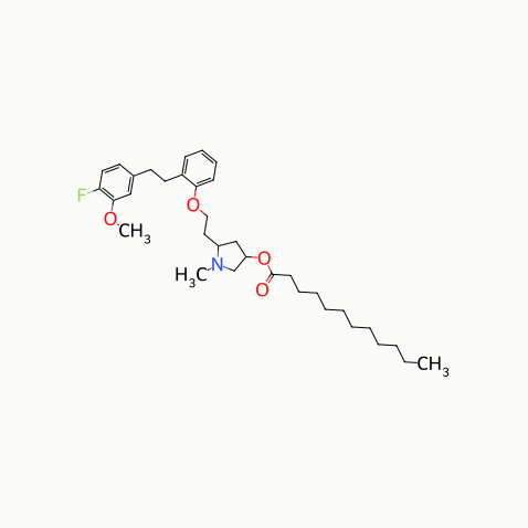 CCCCCCCCCCCC(=O)OC1CC(CCOc2ccccc2CCc2ccc(F)c(OC)c2)N(C)C1